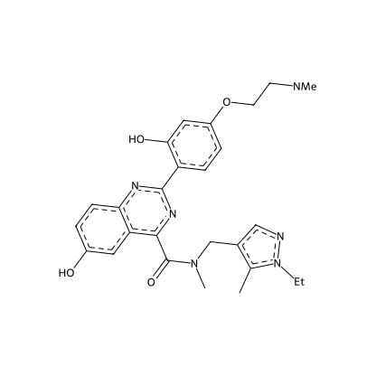 CCn1ncc(CN(C)C(=O)c2nc(-c3ccc(OCCNC)cc3O)nc3ccc(O)cc23)c1C